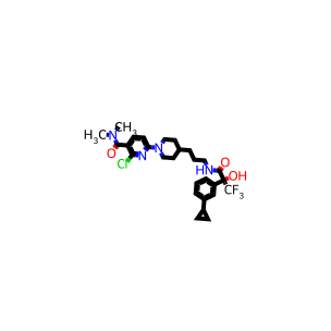 CN(C)C(=O)c1ccc(N2CCC(CCCNC(=O)C(O)(c3cccc(C4CC4)c3)C(F)(F)F)CC2)nc1Cl